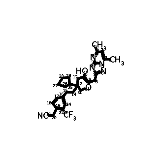 Cc1cc(C)n2nc(CC3=C(O)CC(CCc4ccc(CC#N)c(C(F)(F)F)c4)(C4CCCC4)CO3)nc2n1